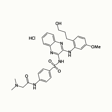 COc1ccc(CCCO)c(Nc2nc3ccccc3nc2NS(=O)(=O)c2ccc(NC(=O)CN(C)C)cc2)c1.Cl